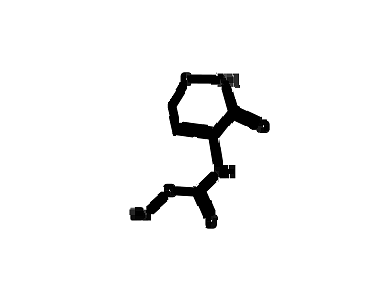 CC(C)(C)OC(=O)NC1=CCONC1=O